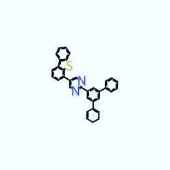 C1=CC(c2cc(-c3ccccc3)cc(-c3ncc(-c4cccc5c4sc4ccccc45)cn3)c2)=CCC1